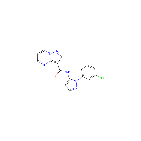 O=C(Nc1ccnn1-c1cccc(Cl)c1)c1cnn2cccnc12